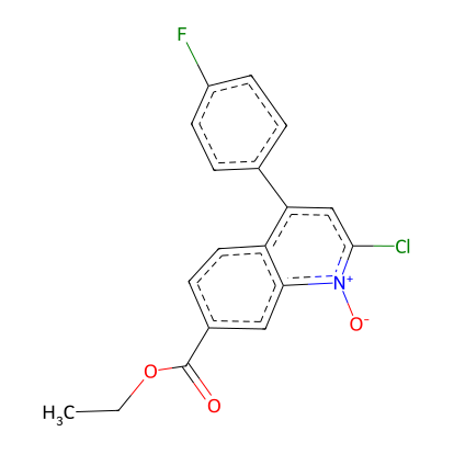 CCOC(=O)c1ccc2c(-c3ccc(F)cc3)cc(Cl)[n+]([O-])c2c1